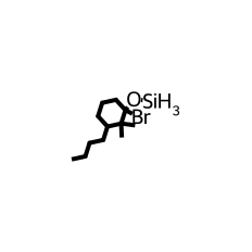 CCCCC1CCCC(Br)(O[SiH3])C1(C)C